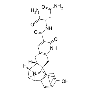 NC(=O)C[C@H](NC(=O)c1cc2c([nH]c1=O)C[C@]13CC4C(c5ccc(O)cc51)N(CC1CC1)[C@H]4[C@@H]3C2)C(N)=O